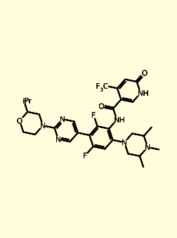 CC(C)C1CN(c2ncc(-c3c(F)cc(N4CC(C)N(C)C(C)C4)c(NC(=O)c4c[nH]c(=O)cc4C(F)(F)F)c3F)cn2)CCO1